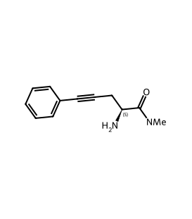 CNC(=O)[C@@H](N)CC#Cc1ccccc1